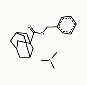 CN(C)C.O=C(OCc1ccccc1)C12CC3CC(CC(C3)C1)C2